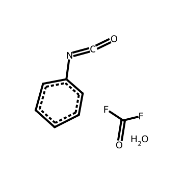 O.O=C(F)F.O=C=Nc1ccccc1